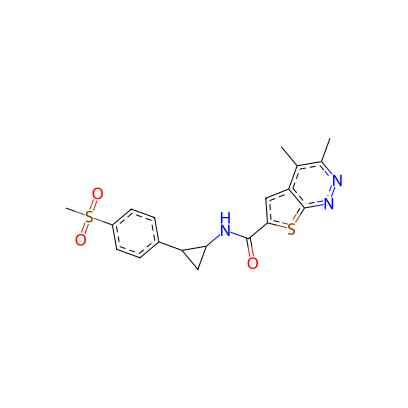 Cc1nnc2sc(C(=O)NC3CC3c3ccc(S(C)(=O)=O)cc3)cc2c1C